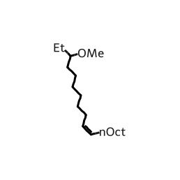 CCCCCCCC/C=C\CCCCCCC(CC)OC